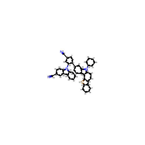 N#Cc1ccc(-c2ccc3c4c5sc6ccccc6c5ccc4n(-c4ccccc4)c3c2)c(-n2c3ccccc3c3cc(C#N)ccc32)c1